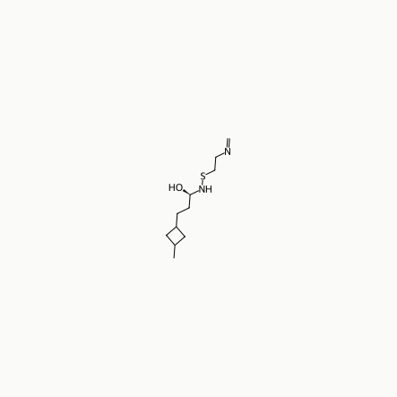 C=NCCSN[C@H](O)CCC1CC(C)C1